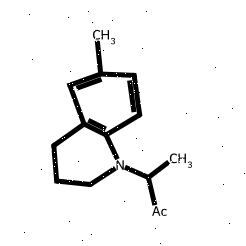 CC(=O)C(C)N1CCCc2cc(C)ccc21